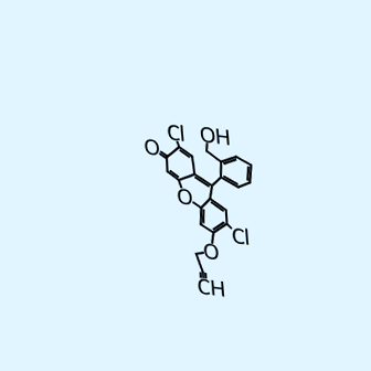 C#CCOc1cc2oc3cc(=O)c(Cl)cc-3c(-c3ccccc3CO)c2cc1Cl